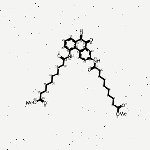 COC(=O)CCCCCCCCC(=O)Nc1ccc2c(c1)C(=O)C(=O)c1cccc(NC(=O)CCCCCCCCC(=O)OC)c1-2